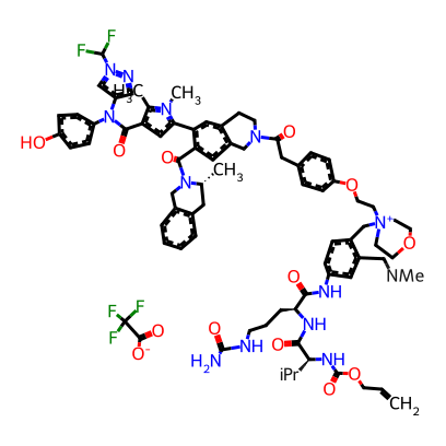 C=CCOC(=O)N[C@H](C(=O)N[C@@H](CCCNC(N)=O)C(=O)Nc1ccc(C[N+]2(CCOc3ccc(CC(=O)N4CCc5cc(-c6cc(C(=O)N(c7ccc(O)cc7)c7cnn(C(F)F)c7)c(C)n6C)c(C(=O)N6Cc7ccccc7C[C@H]6C)cc5C4)cc3)CCOCC2)c(CNC)c1)C(C)C.O=C([O-])C(F)(F)F